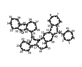 c1ccc(-n2c3ccccc3c3cc4c(ccc5c6ccccc6n(-c6cccc7c6sc6ccccc67)c45)cc32)cc1